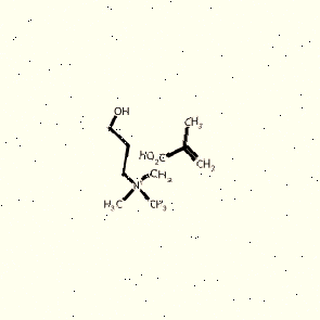 C=C(C)C(=O)O.C[N+](C)(C)CCCO